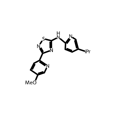 COc1ccc(-c2nsc(Nc3ccc(C(C)C)cn3)n2)nc1